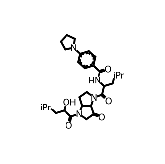 CC(C)CC(O)C(=O)N1CC(=O)C2C1CCN2C(=O)C(CC(C)C)NC(=O)c1ccc(N2CCCC2)cc1